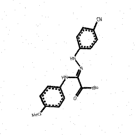 COc1ccc(N/C(=N\Nc2ccc(C#N)cc2)C(=O)C(C)(C)C)cc1